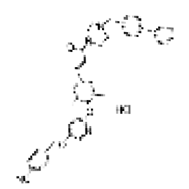 Cc1cc(/C=C/C(=O)N2CCN(Cc3ccc(-c4ccccc4)cc3)CC2)cc(C)c1Oc1ccc(OCc2ccc(C#N)cc2)cn1.Cl